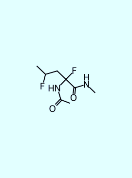 CNC(=O)C(F)(CC(C)F)NC(C)=O